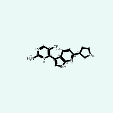 Nc1ncc(C(F)(F)F)c(-c2c[nH]c3nc(C4CCOC4)ccc23)n1